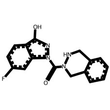 O=C(N1Cc2ccccc2CN1)n1nc(O)c2ccc(F)cc21